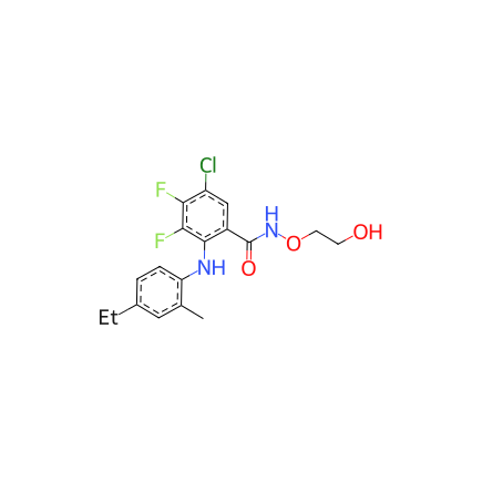 CCc1ccc(Nc2c(C(=O)NOCCO)cc(Cl)c(F)c2F)c(C)c1